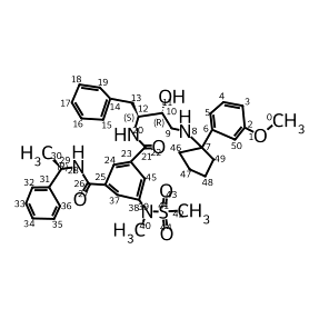 COc1cccc(C2(NC[C@@H](O)[C@H](Cc3ccccc3)NC(=O)c3cc(C(=O)N[C@H](C)c4ccccc4)cc(N(C)S(C)(=O)=O)c3)CCCC2)c1